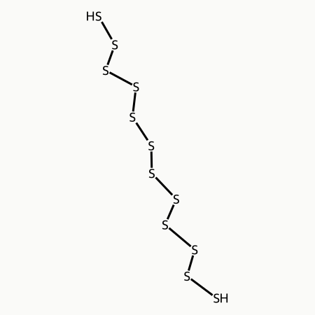 SSSSSSSSSSSS